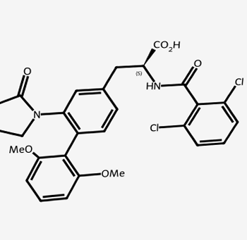 COc1cccc(OC)c1-c1ccc(C[C@H](NC(=O)c2c(Cl)cccc2Cl)C(=O)O)cc1N1CCCC1=O